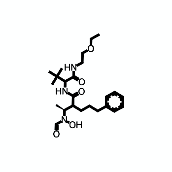 CCOCCNC(=O)C(NC(=O)C(CCCc1ccccc1)[C@H](C)N(O)C=O)C(C)(C)C